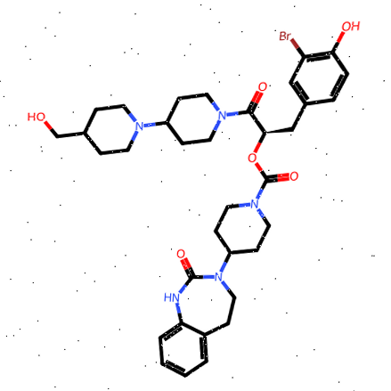 O=C(O[C@H](Cc1ccc(O)c(Br)c1)C(=O)N1CCC(N2CCC(CO)CC2)CC1)N1CCC(N2CCc3ccccc3NC2=O)CC1